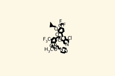 CS(=O)(=O)N(CCN1CCOCC1)c1cc(C(=O)O[C@@H](Cc2c(Cl)cncc2Cl)c2ccc(OC(F)F)c(OCC3CC3)c2)cc(C(F)(F)F)c1